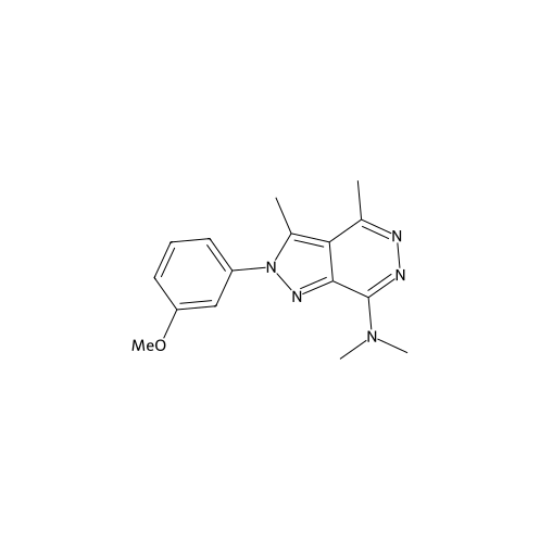 COc1cccc(-n2nc3c(N(C)C)nnc(C)c3c2C)c1